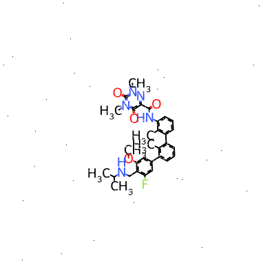 COc1cc(-c2cccc(-c3cccc(NC(=O)c4nn(C)c(=O)n(C)c4=O)c3C)c2C)cc(F)c1CNC(C)C